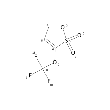 O=S1(=O)OCC=C1OC(F)(F)F